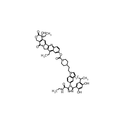 CCNC(=O)c1nnc(-c2cc(C(C)C)c(O)cc2O)n1-c1ccc2c(ccn2CCC2CCN(C(=O)Oc3ccc4nc5c(c(CC)c4c3)Cn3c-5cc4c(c3=O)COC(=O)[C@]4(O)CC)CC2)c1